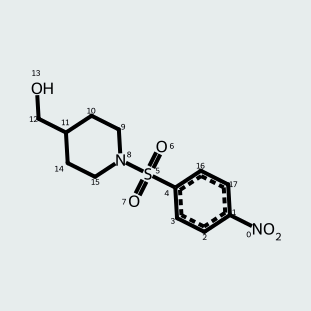 O=[N+]([O-])c1ccc(S(=O)(=O)N2CCC(CO)CC2)cc1